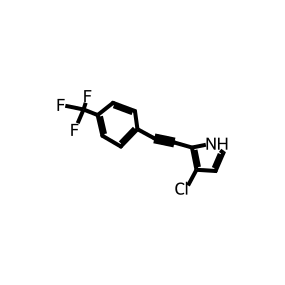 FC(F)(F)c1ccc(C#Cc2[nH]ccc2Cl)cc1